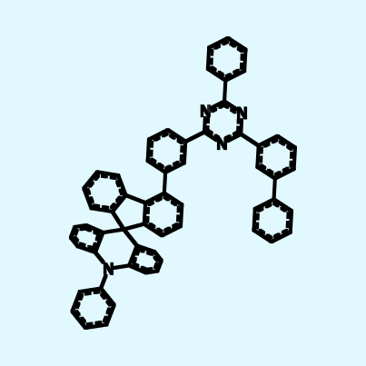 c1ccc(-c2cccc(-c3nc(-c4ccccc4)nc(-c4cccc(-c5cccc6c5-c5ccccc5C65c6ccccc6N(c6ccccc6)c6ccccc65)c4)n3)c2)cc1